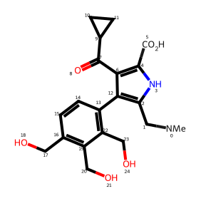 CNCc1[nH]c(C(=O)O)c(C(=O)C2CC2)c1-c1ccc(CO)c(CO)c1CO